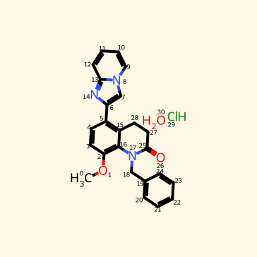 COc1ccc(-c2cn3ccccc3n2)c2c1N(Cc1ccccc1)C(=O)CC2.Cl.O